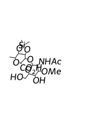 COC1C(O)C(CO)OC(OC2C(C(=O)O)OC(C)C3O[Si](C)(C)OC32)C1NC(C)=O